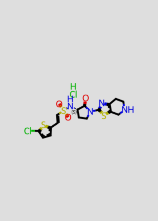 Cl.O=C1[C@@H](NS(=O)(=O)C=Cc2ccc(Cl)s2)CCN1c1nc2c(s1)CNCC2